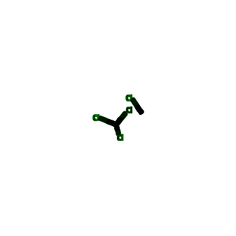 CCl.ClC(Cl)Cl